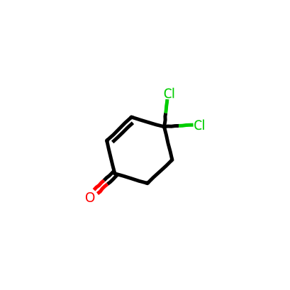 O=C1C=CC(Cl)(Cl)CC1